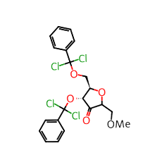 COCC1O[C@H](COC(Cl)(Cl)c2ccccc2)[C@@H](OC(Cl)(Cl)c2ccccc2)C1=O